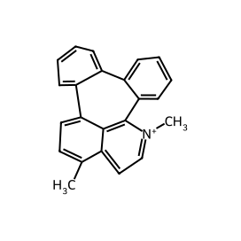 Cc1ccc2c3c([n+](C)ccc13)-c1ccccc1-c1ccccc1-2